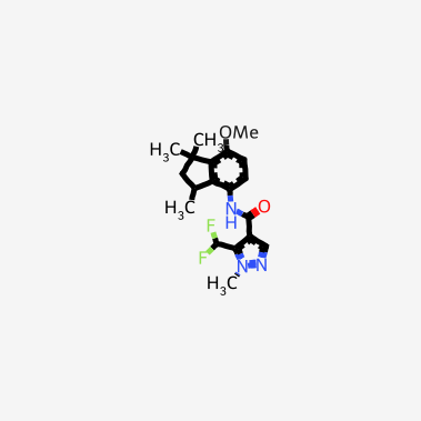 COc1ccc(NC(=O)c2cnn(C)c2C(F)F)c2c1C(C)(C)CC2C